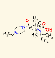 CCN1CCN(C(=O)[C@H]2C[C@@H](N(C(=O)O)C(C)(C)C)C2(C)C)CC1